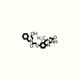 CC1c2cc(OCC(=O)N(CCO)CC3CCCCC3)ccc2N=C2NC(=O)CN21